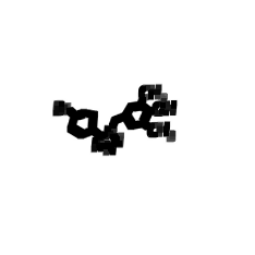 Cc1cc(Cn2nnnc2-c2ccc(Br)cc2)cc(C)c1O